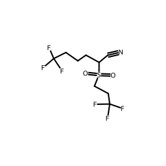 N#CC(CCCC(F)(F)F)S(=O)(=O)CCC(F)(F)F